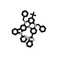 CC(C)(C)c1cc2c3c(c1)N(Cc1ccccc1)c1cc4c5ccccc5n(-c5ccccn5)c4cc1B3c1cc(-c3nc4ccccc4s3)ccc1N2Cc1ccccc1